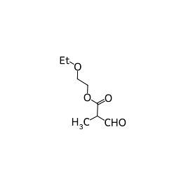 CCOCCOC(=O)C(C)C=O